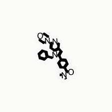 CN(C)C(=O)c1ccc(-c2cc3cnc(N4CCOCC4)cc3n2Cc2ccccc2)cc1